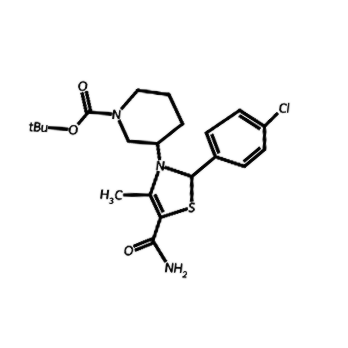 CC1=C(C(N)=O)SC(c2ccc(Cl)cc2)N1C1CCCN(C(=O)OC(C)(C)C)C1